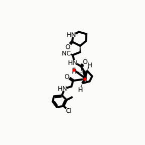 Cc1c(Cl)cccc1NCC(=O)N1[C@@H]2CC[C@H]([C@@H]1C(=O)N[C@@H](C#N)C[C@@H]1CCCNC1=O)C(F)(F)C2